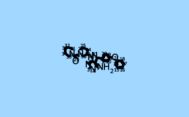 Nc1ncnc2c1c(-c1ccc(Oc3ccccc3)cc1)nn2[C@@H]1CCCN(C(=O)N2CCCCC2)C1